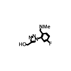 CNCc1ccc(F)cc1-n1cc(CO)nn1